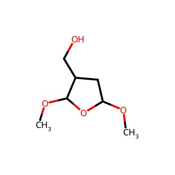 COC1CC(CO)C(OC)O1